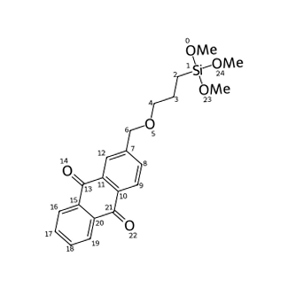 CO[Si](CCCOCc1ccc2c(c1)C(=O)c1ccccc1C2=O)(OC)OC